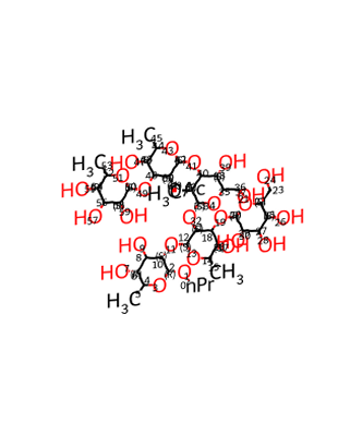 CCCO[C@@H]1OC(C)[C@H](O)C(O)[C@@H]1O[C@@H]1OC(C)[C@H](O)C(O[C@H]2O[C@@H](CO)[C@@H](O)C(O)C2O)[C@@H]1O[C@@H]1OC(CO)[C@@H](O)C(O[C@@H]2OC(C)[C@H](O)C(O[C@@H]3OC(C)[C@H](O)C(O)[C@@H]3O)[C@@H]2OC(C)=O)[C@@H]1C